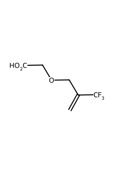 C=C(COCC(=O)O)C(F)(F)F